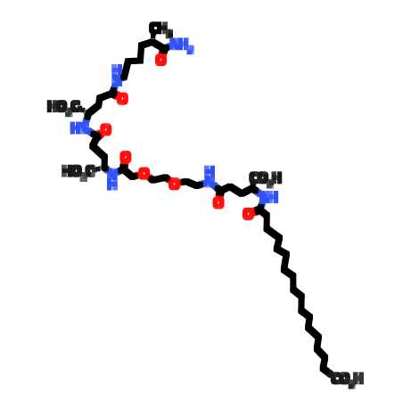 C[C@@H](CCCCNC(=O)CC[C@H](NC(=O)CC[C@H](NC(=O)COCCOCCNC(=O)CC[C@H](NC(=O)CCCCCCCCCCCCCCCCC(=O)O)C(=O)O)C(=O)O)C(=O)O)C(N)=O